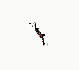 CCCCCCCc1ccc([C@H]2CC[C@H](C3OCC(CCCCC)CO3)CC2)cc1F